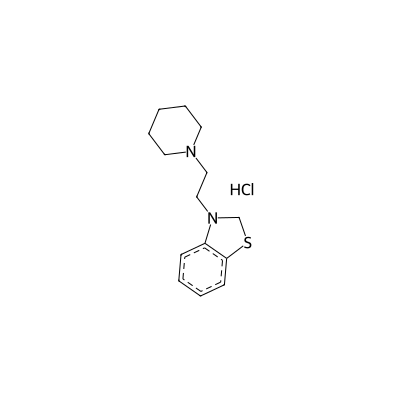 Cl.c1ccc2c(c1)SCN2CCN1CCCCC1